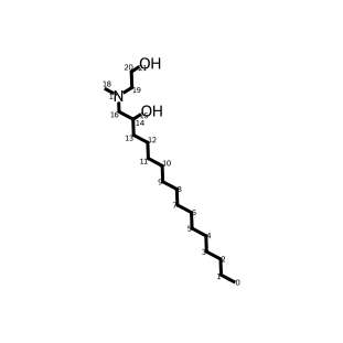 CCCCCCCCCCCCCCC(O)CN(C)CCO